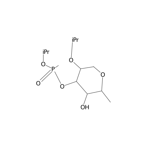 CC(C)OC1COC(C)C(O)C1OP(C)(=O)OC(C)C